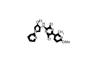 CCO[C@@H]1CN(c2ccccn2)C[C@H]1Nc1nc(CC)c(-c2ccc(OC)nc2C)nc1CC